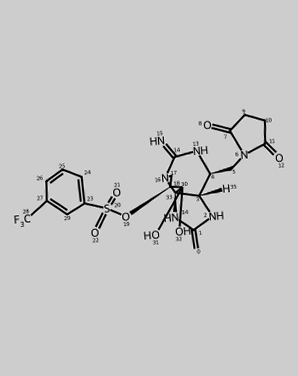 C=C1N[C@H]2[C@H](CN3C(=O)CCC3=O)NC(=N)N3C[C@H](OS(=O)(=O)c4cccc(C(F)(F)F)c4)C(O)(O)[C@]23N1